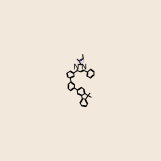 C/C=C(\C)c1nc(-c2ccccc2)cc(-c2cccc(-c3cccc(-c4ccc5c(c4)-c4ccccc4C5(C)C)c3)c2)n1